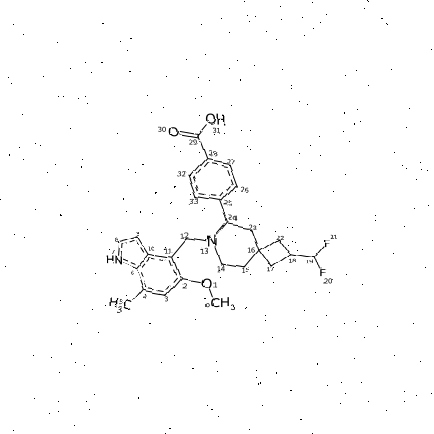 COc1cc(C)c2[nH]ccc2c1CN1CCC2(CC(C(F)F)C2)CC1c1ccc(C(=O)O)cc1